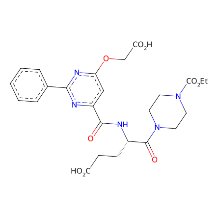 CCOC(=O)N1CCN(C(=O)[C@H](CCC(=O)O)NC(=O)c2cc(OCC(=O)O)nc(-c3ccccc3)n2)CC1